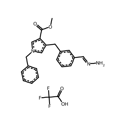 COC(=O)c1cn(Cc2ccccc2)cc1Cc1cccc(C=NN)c1.O=C(O)C(F)(F)F